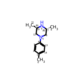 Cc1ccc(N2C[C@@H](C)N[C@H](C)C2)cc1